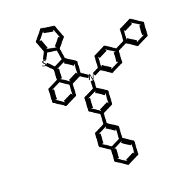 c1ccc(-c2ccc(N(c3ccc(-c4ccc5ccccc5c4)cc3)c3cc4c5ccccc5sc4c4ccccc34)cc2)cc1